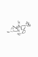 C#Cc1ccc2nc(Nc3cc(O[C@H]4CCN(C)C4)cc(-c4cnn(C)c4)c3)ncc2c1